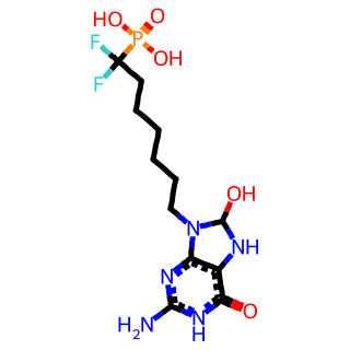 Nc1nc2c(c(=O)[nH]1)NC(O)N2CCCCCCC(F)(F)P(=O)(O)O